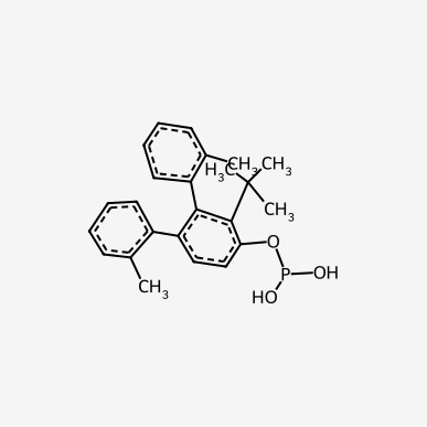 Cc1ccccc1-c1ccc(OP(O)O)c(C(C)(C)C)c1-c1ccccc1C